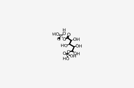 O=C(OP(=O)(O)O)[C@H](O)[C@H](O)[C@@H](O)C(O)OP(=O)(O)O